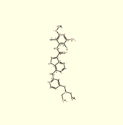 CCN(CC)Cc1ccnc(Nc2ncnc3c(C(=O)Nc4c(Cl)c(C)cc(OC)c4Cl)csc23)c1